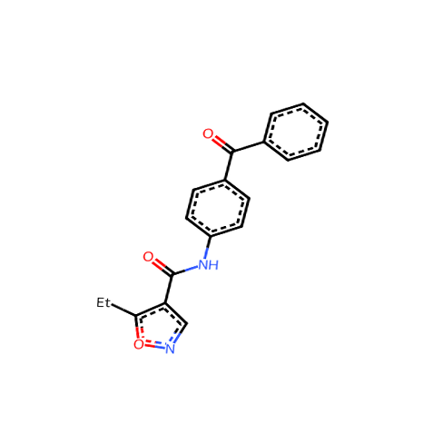 CCc1oncc1C(=O)Nc1ccc(C(=O)c2ccccc2)cc1